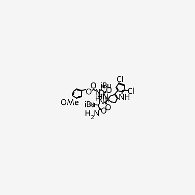 CC[C@H](C)C(NC(=O)[C@@]1(NC(=O)C(NC(=O)OCc2cccc(OC)c2)[C@@H](C)CC)CCc2[nH]c3c(Cl)cc(Cl)cc3c2C1)C(N)=O